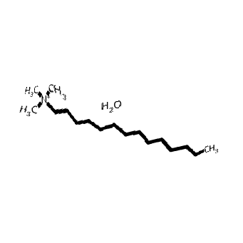 CCCCCCCCCCCCCC[N+](C)(C)C.O